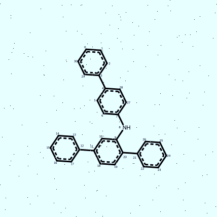 c1ccc(-c2ccc(Nc3cc(-c4ccccc4)ccc3-c3ccccc3)cc2)cc1